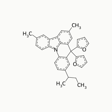 CCC(C)c1ccc2c(c1)C(c1ccco1)(c1ccco1)c1cc(C)cc3c4cc(C)ccc4n-2c13